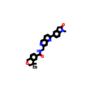 CN1C(=O)Cc2cc(-c3ccc4cnc(CNC(=O)c5ccc6c(c5)[C@](C)(C#N)COC6)cc4n3)ccc21